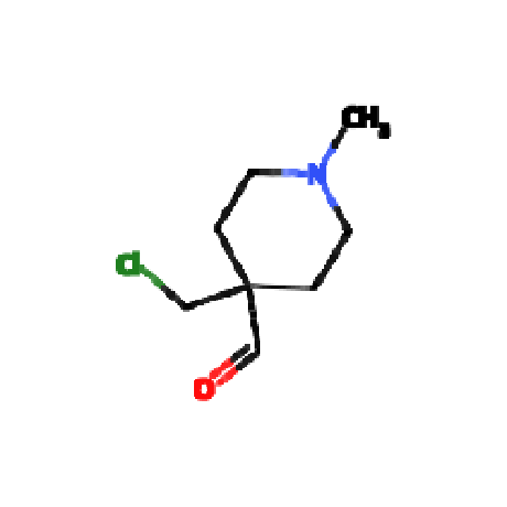 CN1CCC(C=O)(CCl)CC1